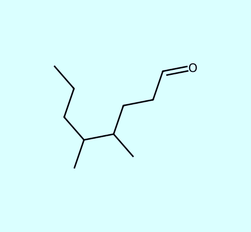 CCCC(C)C(C)CCC=O